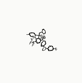 Cc1ccc(C(Cc2ccccc2)(NS(=O)(=O)c2ccc(Oc3ccc(F)cc3)cc2)c2cccc(C(F)(F)F)c2)nc1